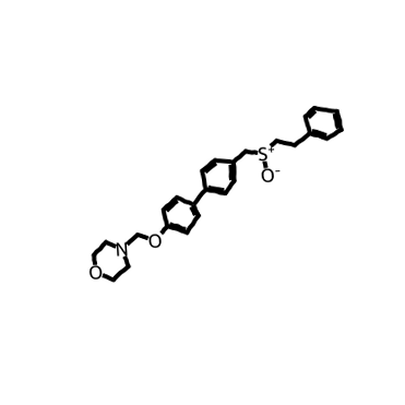 [O-][S+](CCc1ccccc1)Cc1ccc(-c2ccc(OCN3CCOCC3)cc2)cc1